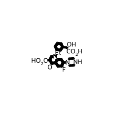 CCn1cc(C(=O)O)c(=O)c2cc(F)c(N3CCNCC3)cc21.O=C(O)C(O)c1ccccc1